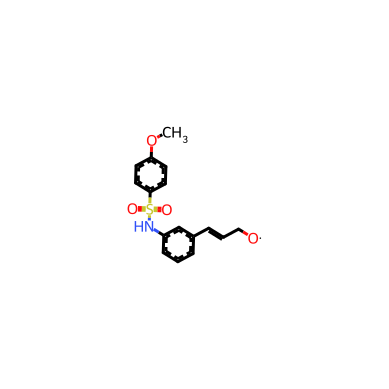 COc1ccc(S(=O)(=O)Nc2cccc(C=CC[O])c2)cc1